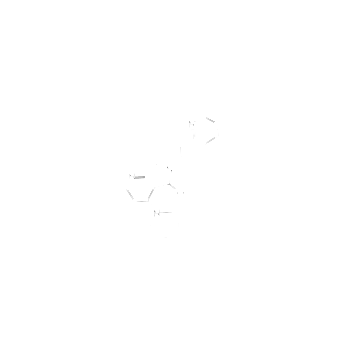 Cc1ccc(CCN2Cc3nccc(N4CCOCC4)c3C2=O)nc1